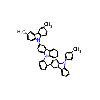 Cc1ccc(N2C3=CC=C(c4ccccc4-n4c5ccccc5c5cc(-n6c7ccc(C)cc7c7cc(C)ccc76)ccc54)CC3c3ccccc32)cc1